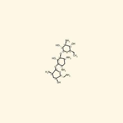 CC[C@H]1O[C@H](O[C@@H]2[C@@H](O)[C@H](O[C@H]3O[C@H](CN)[C@@H](O)C[C@H]3N)[C@@H](N)C[C@H]2N)[C@H](O)[C@@H](N)[C@@H]1O